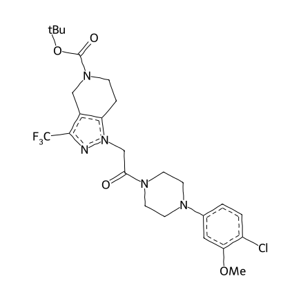 COc1cc(N2CCN(C(=O)Cn3nc(C(F)(F)F)c4c3CCN(C(=O)OC(C)(C)C)C4)CC2)ccc1Cl